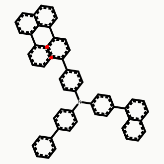 c1ccc(-c2ccc(N(c3ccc(-c4ccc(-c5cccc6cccc(-c7ccccc7)c56)cc4)cc3)c3ccc(-c4cccc5ccccc45)cc3)cc2)cc1